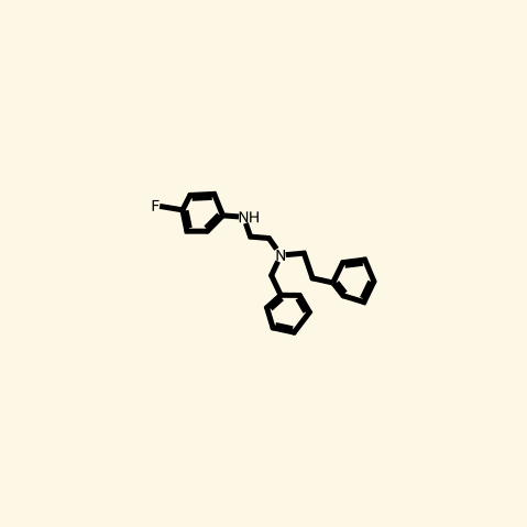 Fc1ccc(NCCN(CCc2ccccc2)Cc2ccccc2)cc1